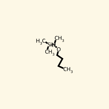 CCCCON(C)[SiH](C)C